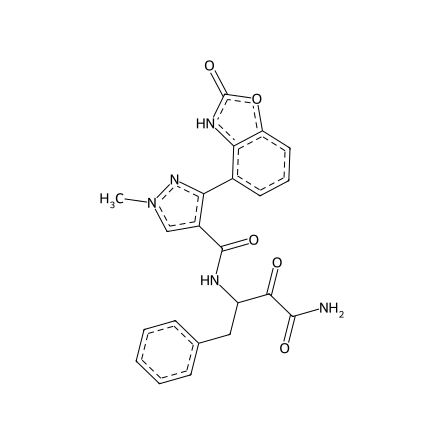 Cn1cc(C(=O)NC(Cc2ccccc2)C(=O)C(N)=O)c(-c2cccc3oc(=O)[nH]c23)n1